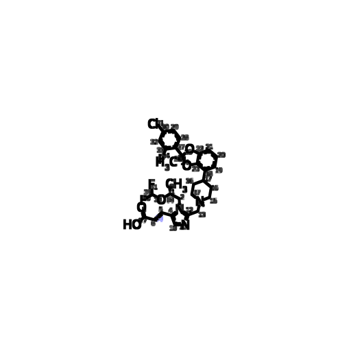 C[C@@H](Cn1c(/C=C/C(=O)O)cnc1CN1CCC(c2cccc3c2O[C@@](C)(c2ccc(Cl)cc2F)O3)CC1)OC(F)F